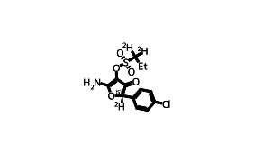 [2H]C([2H])(CC)S(=O)(=O)OC1=C(N)O[C@@]([2H])(c2ccc(Cl)cc2)C1=O